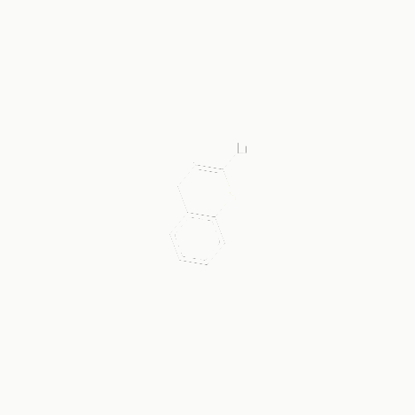 [Li][C]1=CCc2ccccc2S1